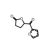 O=C1CCC(C(=O)c2ccco2)O1